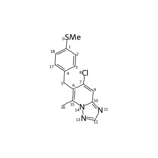 CSc1ccc(Cc2c(Cl)cc3ncnn3c2C)cc1